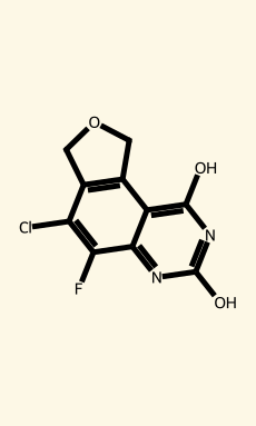 Oc1nc(O)c2c3c(c(Cl)c(F)c2n1)COC3